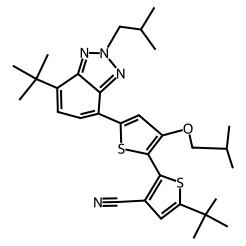 CC(C)COc1cc(-c2ccc(C(C)(C)C)c3nn(CC(C)C)nc23)sc1-c1sc(C(C)(C)C)cc1C#N